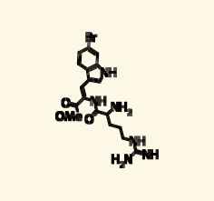 COC(=O)C(=Cc1c[nH]c2cc(Br)ccc12)NC(=O)C(N)CCCNC(=N)N